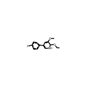 CCOC1NC=C(c2ccc(F)cc2)C=C1OC